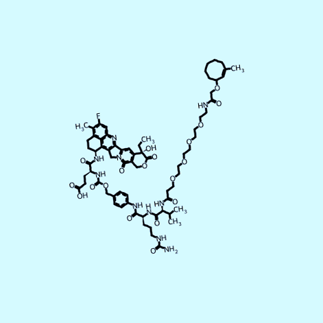 CC[C@@]1(O)C(=O)OCc2c1cc1n(c2=O)Cc2c-1nc1cc(F)c(C)c3c1c2[C@@H](NC(=O)[C@H](CCC(=O)O)NC(=O)OCc1ccc(NC(=O)[C@H](CCCNC(N)=O)NC(=O)[C@@H](NC(=O)CCOCCOCCOCCOCCNC(=O)COC2/C=C(/C)CCCCC2)C(C)C)cc1)CC3